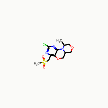 CC1COCC2COc3c(CS(C)(=O)=O)nc(Cl)nc3N12